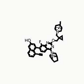 C#Cc1cccc2cc(O)cc(-c3ccc4c(N5CC6CCC(C5)N6)nc(OCC5(CN6CC7CCC6CN7C)CC5)nc4c3F)c12